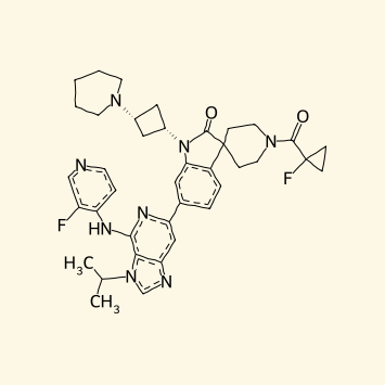 CC(C)n1cnc2cc(-c3ccc4c(c3)N([C@H]3C[C@@H](N5CCCCC5)C3)C(=O)C43CCN(C(=O)C4(F)CC4)CC3)nc(Nc3ccncc3F)c21